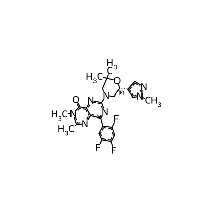 Cc1nc2c(-c3cc(F)c(F)cc3F)nc(N3C[C@@H](c4cnn(C)c4)OC(C)(C)C3)nc2c(=O)n1C